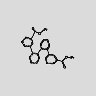 CC(C)OC(=O)c1cccc(-c2ccccc2-c2ccccc2-c2cccc(C(=O)OC(C)C)c2)c1